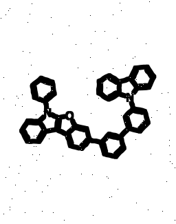 c1ccc(-n2c3ccccc3c3c4ccc(-c5cccc(-c6cccc(-n7c8ccccc8c8ccccc87)c6)c5)cc4oc32)cc1